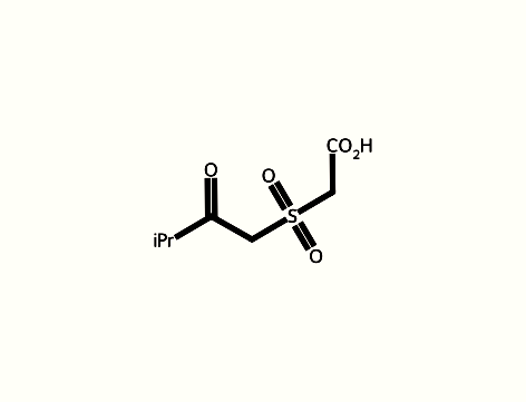 CC(C)C(=O)CS(=O)(=O)CC(=O)O